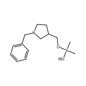 CC(C)(C)[Si](C)(C)OCC1CCN(Cc2ccccc2)C1